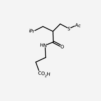 CC(=O)SCC(CC(C)C)C(=O)NCCC(=O)O